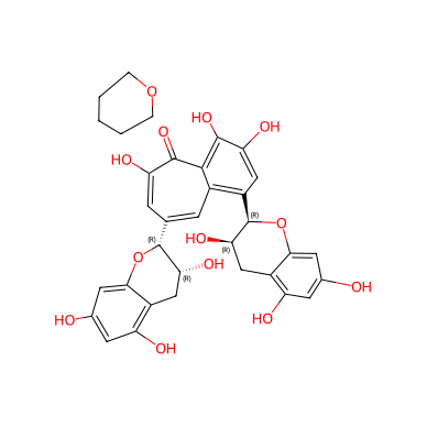 C1CCOCC1.O=c1c(O)cc([C@H]2Oc3cc(O)cc(O)c3C[C@H]2O)cc2c([C@H]3Oc4cc(O)cc(O)c4C[C@H]3O)cc(O)c(O)c12